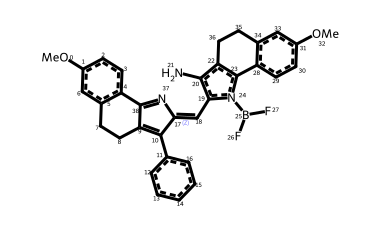 COc1ccc2c(c1)CCC1=C(c3ccccc3)/C(=C/c3c(N)c4c(n3B(F)F)-c3ccc(OC)cc3CC4)N=C12